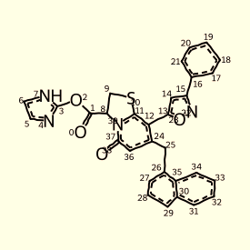 O=C(Oc1ncc[nH]1)C1CSc2c(-c3cc(-c4ccccc4)no3)c(Cc3cccc4ccccc34)cc(=O)n21